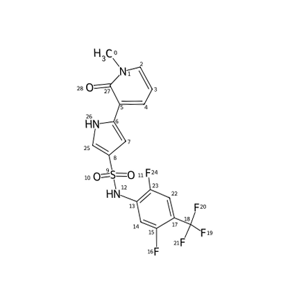 Cn1cccc(-c2cc(S(=O)(=O)Nc3cc(F)c(C(F)(F)F)cc3F)c[nH]2)c1=O